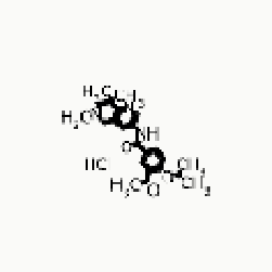 CC(=O)c1cc(C(=O)Nc2cnc3c(c2)CN(C)CC3(C)C)ccc1OC(C)C.Cl